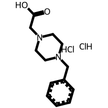 Cl.Cl.O=C(O)CN1CCN(Cc2ccccc2)CC1